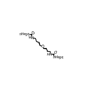 CCCCCCCC(=O)NCCC=COC=CCCNC(=O)CCCCCCC